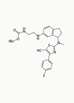 CN(c1nc(-c2ccc(F)cc2)c(C#N)s1)C1CCc2ccc(NCCNC(=O)OC(C)(C)C)cc21